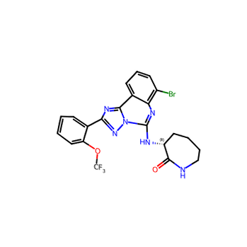 O=C1NCCCC[C@H]1Nc1nc2c(Br)cccc2c2nc(-c3ccccc3OC(F)(F)F)nn12